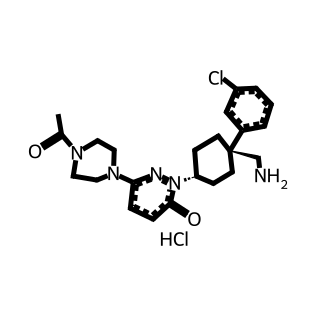 CC(=O)N1CCN(c2ccc(=O)n([C@H]3CC[C@@](CN)(c4cccc(Cl)c4)CC3)n2)CC1.Cl